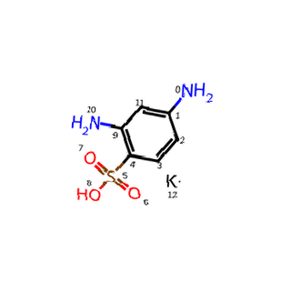 Nc1ccc(S(=O)(=O)O)c(N)c1.[K]